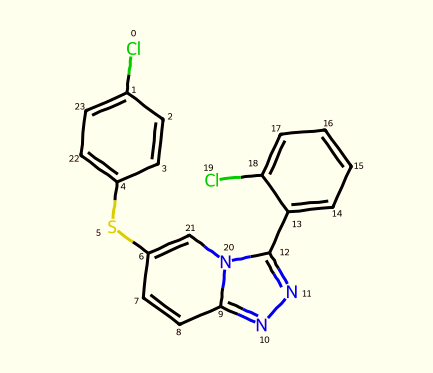 Clc1ccc(Sc2ccc3nnc(-c4ccccc4Cl)n3c2)cc1